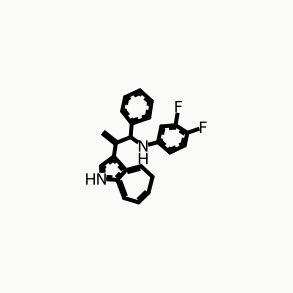 C=C(c1c[nH]c2c1=CCC=CC=2)C(Nc1ccc(F)c(F)c1)c1ccccc1